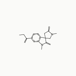 C=C(CC)c1ccc2c(c1)N(C)C(=C)C21CC(=C)N(C)C1